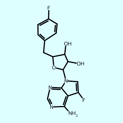 Nc1ncnc2c1c(F)cn2C1OC(Cc2ccc(F)cc2)C(O)C1O